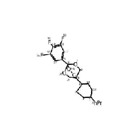 CCCC1CCC(C23COC(c4cc(F)c(F)c(F)c4)(OC2)OC3)CC1